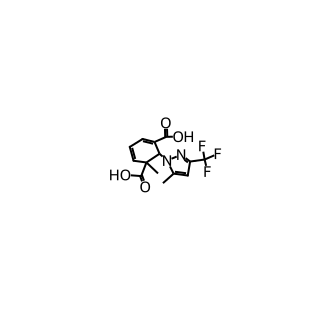 Cc1cc(C(F)(F)F)nn1C1C(C(=O)O)=CC=CC1(C)C(=O)O